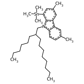 CCCCCCCCC(CCCCCC)Cn1c2ccc(C)cc2c2cc(C)c[c]([Sn]([CH3])([CH3])[CH3])c21